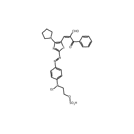 CCN(CCOS(=O)(=O)O)c1ccc(/N=N/c2nc(N3CCCC3)c(/C=C(/C=O)C(=O)c3ccccc3)s2)cc1